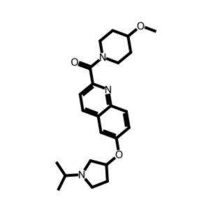 COC1CCN(C(=O)c2ccc3cc(OC4CCN(C(C)C)C4)ccc3n2)CC1